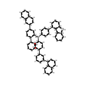 c1ccc(-c2ccc(-c3ccc4ccccc4c3)cc2N(c2ccc(-c3cccc(-c4cccc5ccccc45)c3)cc2)c2ccc(-c3cccc4oc5ccccc5c34)cc2)cc1